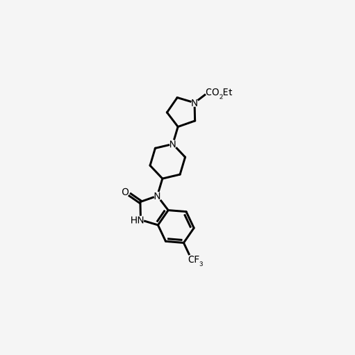 CCOC(=O)N1CCC(N2CCC(n3c(=O)[nH]c4cc(C(F)(F)F)ccc43)CC2)C1